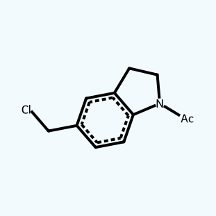 CC(=O)N1CCc2cc(CCl)ccc21